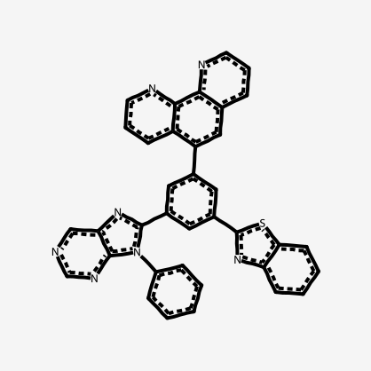 c1ccc(-n2c(-c3cc(-c4nc5ccccc5s4)cc(-c4cc5cccnc5c5ncccc45)c3)nc3cncnc32)cc1